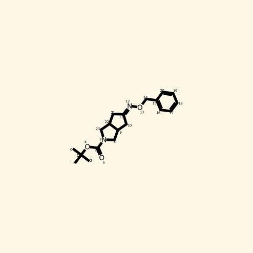 CC(C)(C)OC(=O)N1CC2CC(=NOCc3ccccc3)CC2C1